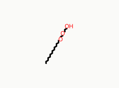 CCCCCCCCCCCCCCOCCOCCCO